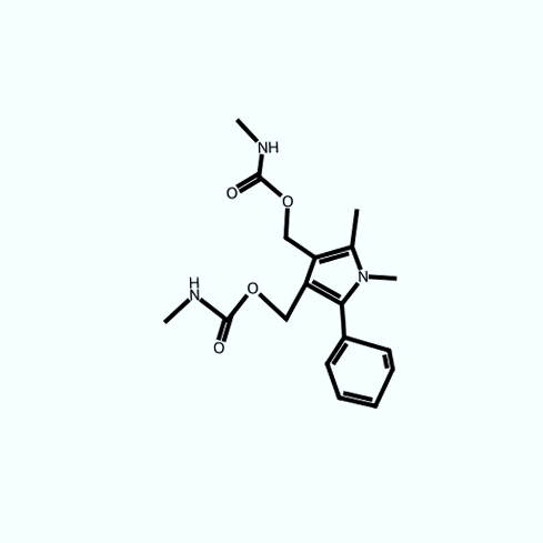 CNC(=O)OCc1c(COC(=O)NC)c(-c2ccccc2)n(C)c1C